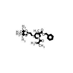 C[C@H](N)C(=O)N1C[C@@H](CCB2OC(C)(C)C(C)(C)O2)C[C@@](C)(C(=O)OCc2ccccc2)C1